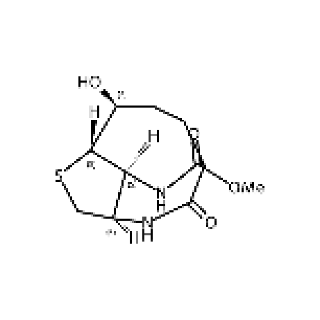 COC(=O)N[C@@H]1[C@@H]2SC[C@@H]1NC(=O)CCC[C@@H]2O